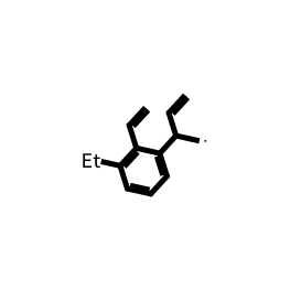 [CH2]C(C=C)c1cccc(CC)c1C=C